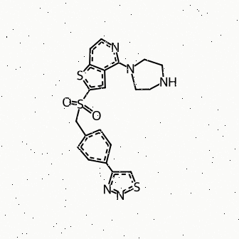 O=S(=O)(Cc1ccc(-c2csnn2)cc1)c1cc2c(N3CCNCC3)nccc2s1